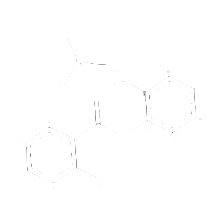 CN(C)C.Cc1ccccc1C(=O)Oc1ccccc1S(=O)(=O)O